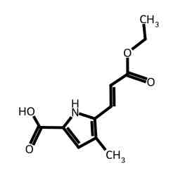 CCOC(=O)C=Cc1[nH]c(C(=O)O)cc1C